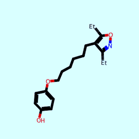 CCc1noc(CC)c1CCCCCCOc1ccc(O)cc1